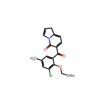 COCOc1c(Br)cc(C)cc1C(=O)c1ccc2n(c1=O)C=CC2